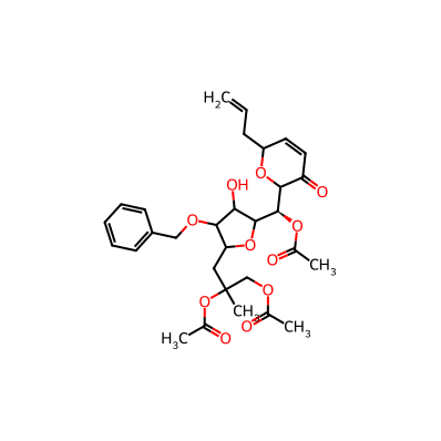 C=CCC1C=CC(=O)C([C@@H](OC(C)=O)C2OC(CC(C)(COC(C)=O)OC(C)=O)C(OCc3ccccc3)C2O)O1